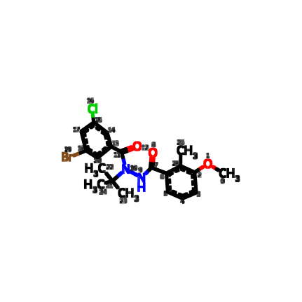 COc1cccc(C(=O)NN(C(=O)c2cc(Cl)cc(Br)c2)C(C)(C)C)c1C